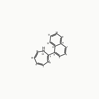 C1=CN=C(c2cccc3ccccc23)NC=C1